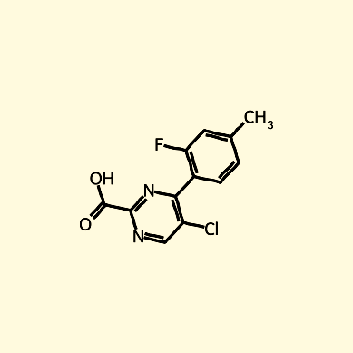 Cc1ccc(-c2nc(C(=O)O)ncc2Cl)c(F)c1